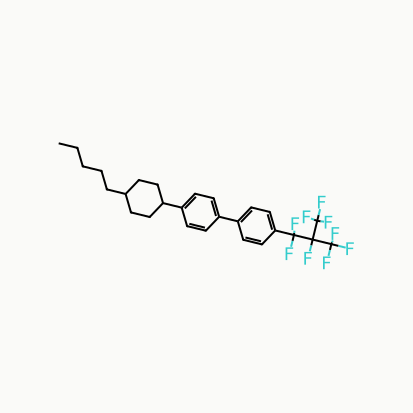 CCCCCC1CCC(c2ccc(-c3ccc(C(F)(F)C(F)(C(F)(F)F)C(F)(F)F)cc3)cc2)CC1